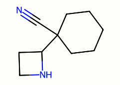 N#CC1(C2CCN2)CCCCC1